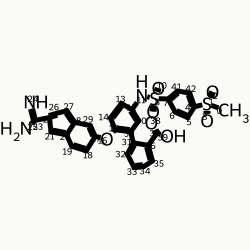 CS(=O)(=O)c1ccc(S(=O)(=O)Nc2ccc(Oc3ccc4cc(C(=N)N)ccc4c3)c(-c3ccccc3C(=O)O)c2)cc1